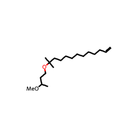 C=CCCCCCCCCCC(C)(C)OCCC(C)OC